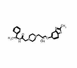 Cc1nc2cc(OC[C@H](O)CN3CCN(CC(=O)N[C@@H](C)c4ccccc4)CC3)ccc2s1